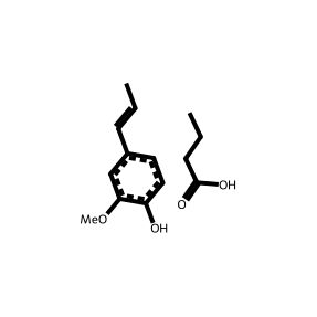 CC=Cc1ccc(O)c(OC)c1.CCCC(=O)O